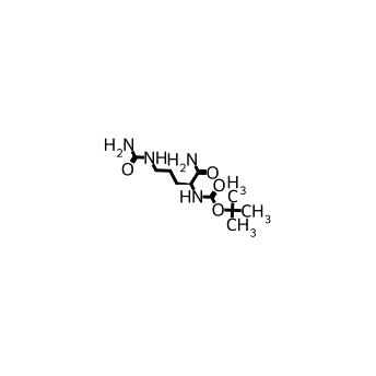 CC(C)(C)OC(=O)N[C@@H](CCCNC(N)=O)C(N)=O